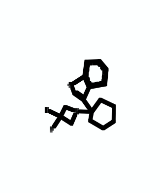 FC1(F)CN(C2(C3=C[N]c4ccccc43)CCCCC2)C1